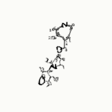 c1cc(CO[C@@H]2CCN(C3CCOC3)C2)ccn1